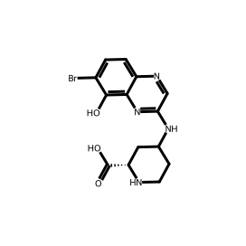 O=C(O)[C@@H]1CC(Nc2cnc3ccc(Br)c(O)c3n2)CCN1